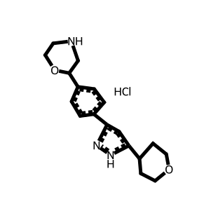 Cl.c1cc(C2CNCCO2)ccc1-c1cc(C2CCOCC2)[nH]n1